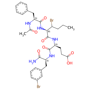 CCCC(Br)[C@H](NC(=O)[C@H](Cc1ccccc1)NC(C)=O)C(=O)N[C@@H](CCC(=O)O)C(=O)N[C@@H](Cc1cccc(Br)c1)C(N)=O